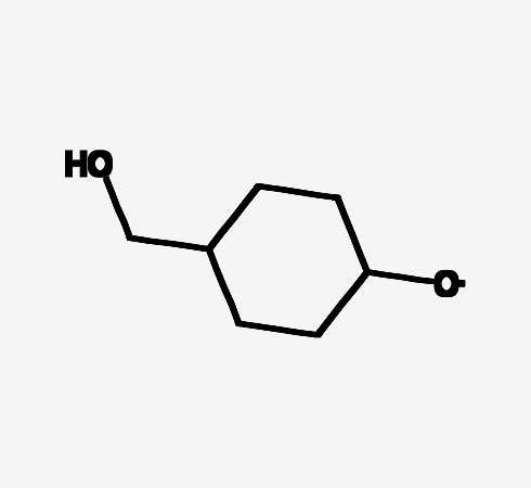 [O]C1CCC(CO)CC1